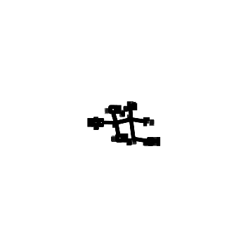 CCC(F)(CO)C(C)(C)C